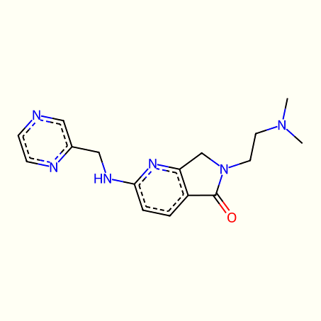 CN(C)CCN1Cc2nc(NCc3cnccn3)ccc2C1=O